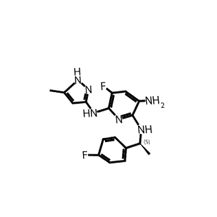 Cc1cc(Nc2nc(N[C@@H](C)c3ccc(F)cc3)c(N)cc2F)n[nH]1